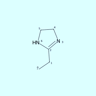 [CH2]CC1=NCCN1